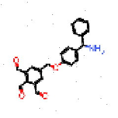 NC(c1ccccc1)c1ccc(OCc2cc(C=O)c(C=O)c(C=O)c2)cc1